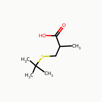 CC(CSC(C)(C)C)C(=O)O